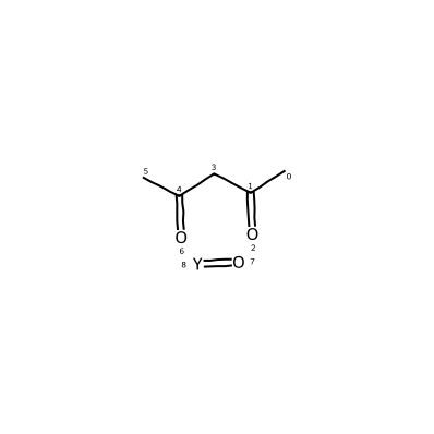 CC(=O)CC(C)=O.[O]=[Y]